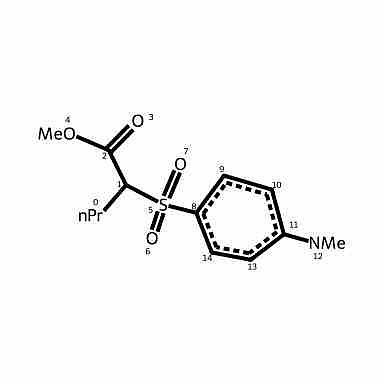 CCCC(C(=O)OC)S(=O)(=O)c1ccc(NC)cc1